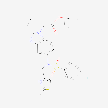 CCCc1nc2cc(N(Cc3csc(C)n3)S(=O)(=O)c3ccc(F)cc3)ccc2n1CC(=O)OC(C)(C)C